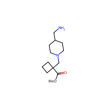 COC(=O)C1(CN2CCC(CN)CC2)CCC1